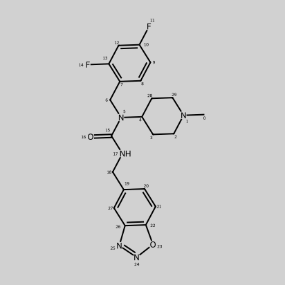 CN1CCC(N(Cc2ccc(F)cc2F)C(=O)NCc2ccc3onnc3c2)CC1